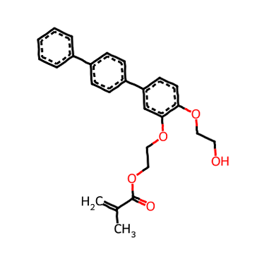 C=C(C)C(=O)OCCOc1cc(-c2ccc(-c3ccccc3)cc2)ccc1OCCO